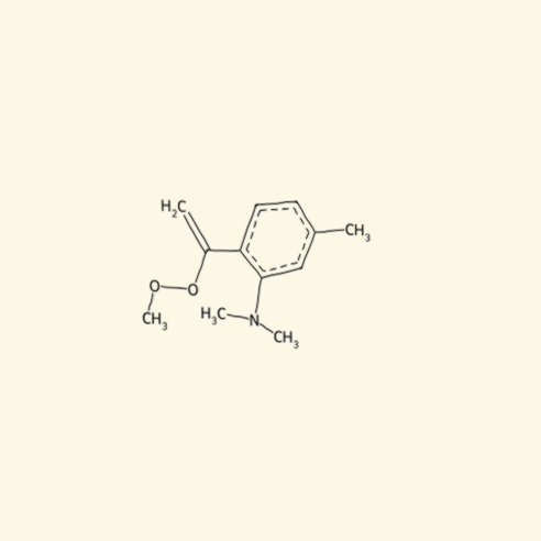 C=C(OOC)c1ccc(C)cc1N(C)C